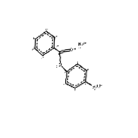 O=C(Oc1ccc(S(=O)(=O)O)cc1)c1ccccc1.[NaH]